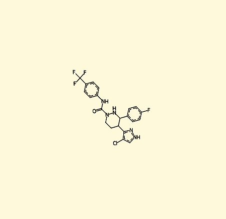 O=C(Nc1ccc(C(F)(F)F)cc1)N1CCC(c2n[nH]cc2Cl)C(c2ccc(F)cc2)N1